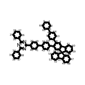 c1ccc(-c2ccc(-c3cc4c(cc3-c3ccc(-c5ccc(-c6nc(-c7ccccc7)nc(-c7ccccc7)n6)cc5)cc3)C3(c5ccccc5-c5ccccc53)c3ccccc3-4)cc2)cc1